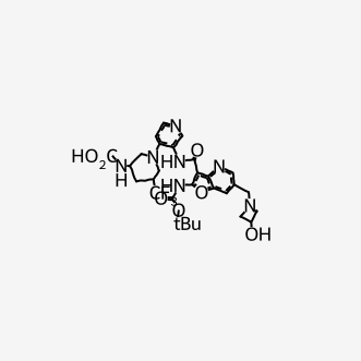 CC(C)(C)OC(=O)Nc1oc2cc(CN3CC(O)C3)cnc2c1C(=O)Nc1cnccc1N1CC(NC(=O)O)CC(C(F)(F)F)C1